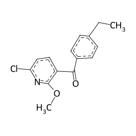 CCc1ccc(C(=O)c2ccc(Cl)nc2OC)cc1